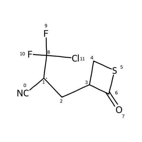 N#C[C](CC1CSC1=O)C(F)(F)Cl